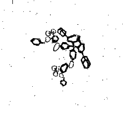 O=[N+]([O-])c1ccc(Oc2ccc(C3(c4ccc(Oc5ccc([N+](=O)[O-])c(OCc6ccccc6)c5)cc4)c4cc(C56CC7CC(CC(C7)C5)C6)ccc4-c4ccc(C56CC7CC(CC(C7)C5)C6)cc43)cc2)cc1OCc1ccccc1